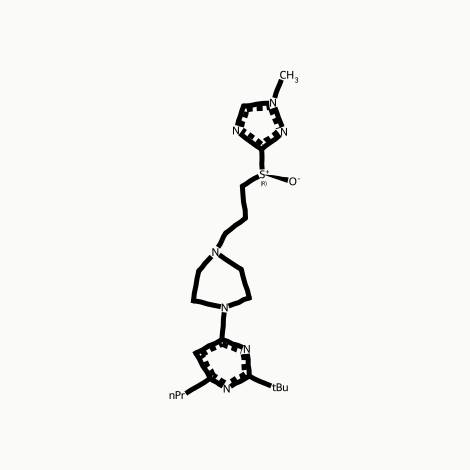 CCCc1cc(N2CCN(CCC[S@+]([O-])c3ncn(C)n3)CC2)nc(C(C)(C)C)n1